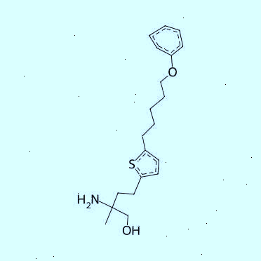 CC(N)(CO)CCc1ccc(CCCCCOc2ccccc2)s1